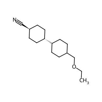 CCOCC1CCC([C@H]2CC[C@H](C#N)CC2)CC1